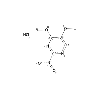 COc1cnc([N+](=O)[O-])nc1OC.Cl